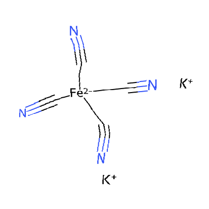 N#[C][Fe-2]([C]#N)([C]#N)[C]#N.[K+].[K+]